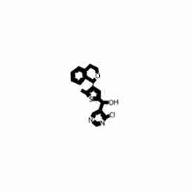 Cc1sc(C(O)c2cncnc2Cl)cc1[C@H]1OCCc2ccccc21